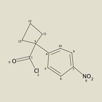 O=C(Cl)C1(c2ccc([N+](=O)[O-])cc2)CCC1